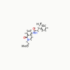 COCCn1ccc2c(NC(=O)CCc3ccccc3C)cccc2c1=O